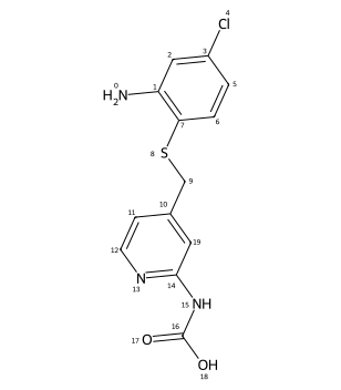 Nc1cc(Cl)ccc1SCc1ccnc(NC(=O)O)c1